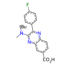 CN(c1nc2cc(C(=O)O)ccc2nc1-c1ccc(F)cc1)C(C)(C)C